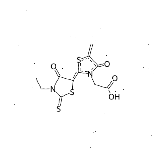 C=c1s/c(=C2/SC(=S)N(CC)C2=O)n(CC(=O)O)c1=O